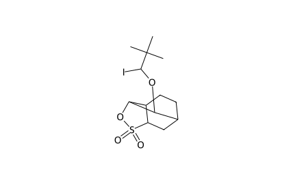 CC(C)(C)C(I)OC1C2CCC3C1OS(=O)(=O)C3C2